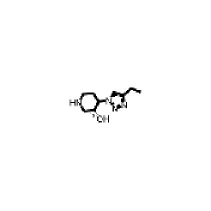 CCc1cn(C2CCNC[C@H]2O)nn1